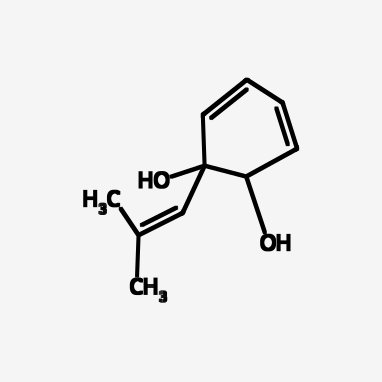 CC(C)=CC1(O)C=CC=CC1O